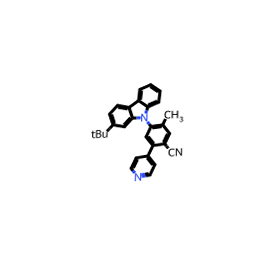 Cc1cc(C#N)c(-c2ccncc2)cc1-n1c2ccccc2c2ccc(C(C)(C)C)cc21